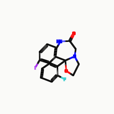 O=C1CN2CCOC2(c2ccccc2F)c2cc(I)ccc2N1